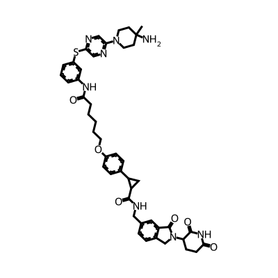 CC1(N)CCN(c2cnc(Sc3cccc(NC(=O)CCCCCOc4ccc(C5CC5C(=O)NCc5ccc6c(c5)C(=O)N(C5CCC(=O)NC5=O)C6)cc4)c3)cn2)CC1